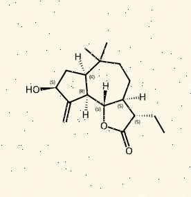 C=C1[C@@H]2[C@H]3OC(=O)[C@@H](CC)[C@@H]3CCC(C)(C)[C@@H]2C[C@@H]1O